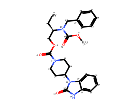 CC(C)C[C@H](COC(=O)N1CCC(n2c(=O)[nH]c3ccccc32)CC1)N(Cc1ccccc1)C(=O)OC(C)(C)C